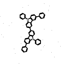 c1ccc(-c2ccc3c(c2)c2cc(-c4ccc5c(c4)c4ccc(-c6ccccc6)cc4n5-c4ccccc4)ccc2n3-c2ccccc2)cc1